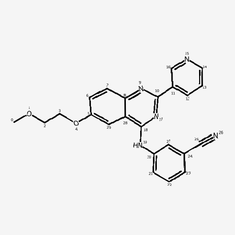 COCCOc1ccc2nc(-c3cccnc3)nc(Nc3cccc(C#N)c3)c2c1